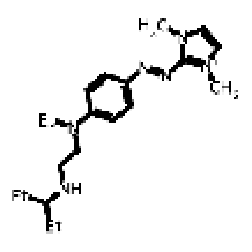 CCC(CC)NCCN(CC)c1ccc(N=Nc2n(C)cc[n+]2C)cc1